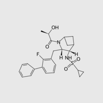 C[C@@H](O)C(=O)N1C2CC(C2)[C@H](NS(=O)(=O)C2CC2)[C@@H]1Cc1cccc(-c2ccccc2)c1F